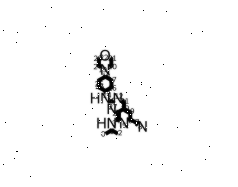 CC(C)Nc1nc(C#N)cc2cnc(NC3CCC(N4CCOCC4)CC3)nc12